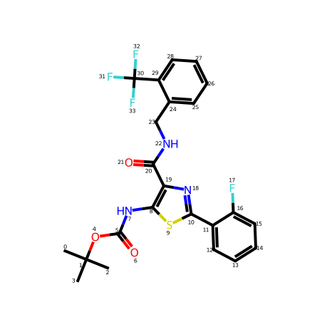 CC(C)(C)OC(=O)Nc1sc(-c2ccccc2F)nc1C(=O)NCc1ccccc1C(F)(F)F